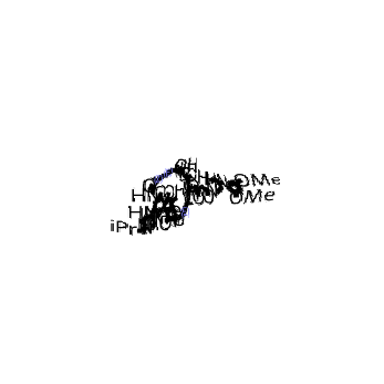 COc1cc(NC2CCN(C(=O)CC(=O)O[C@@H]3CC/C=C/O[C@@]4(C)Oc5c(C)c(O)c6c(c5C4O)C4=NC5(CCN(CC(C)C)CC5)NC4=C(NC(=O)/C(C)=C\C=C\C(C)[C@H](O)CC(O)C3)C6=O)CC2)cc(OC)c1